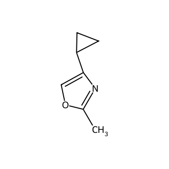 Cc1nc(C2CC2)co1